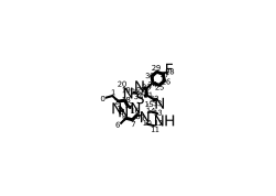 CCc1nn2c(C)cc(N3CCNC[C@H]3C)nc2c1N(C)c1nc(-c2ccc(F)cc2)c(C#N)s1